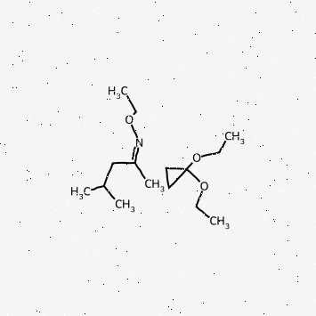 CCOC1(OCC)CC1.CCON=C(C)CC(C)C